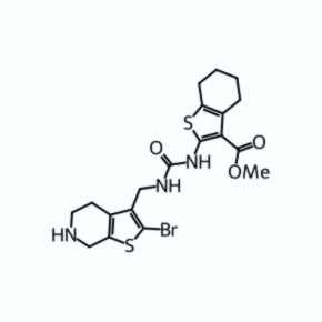 COC(=O)c1c(NC(=O)NCc2c(Br)sc3c2CCNC3)sc2c1CCCC2